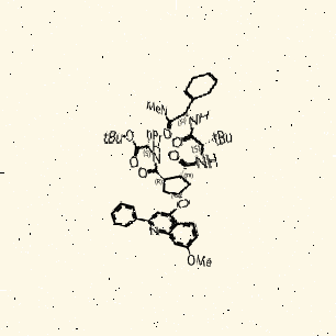 CCC[C@H](NC(=O)[C@@H]1C[C@@H](Oc2cc(-c3ccccc3)nc3cc(OC)ccc23)C[C@H]1C(=O)N[C@H](C(=O)N[C@H](C(=O)NC)C1CCCCC1)C(C)(C)C)C(=O)OC(C)(C)C